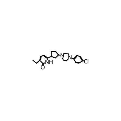 CCc1ccc(C2CCC(N3CCN(c4ccc(Cl)cc4)CC3)C2)[nH]c1=O